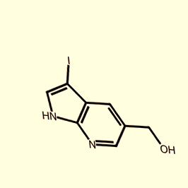 OCc1cnc2[nH]cc(I)c2c1